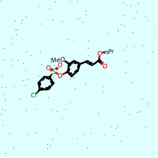 CCCOC(=O)C=Cc1ccc(OS(=O)(=O)c2ccc(Cl)cc2)c(OC)c1